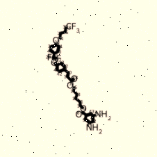 Nc1cc(N)cc(C(=O)OCCCCCCOC(=O)/C=C/c2ccc(OC(F)(F)c3ccc(OCCCCC(F)(F)F)cc3)cc2)c1